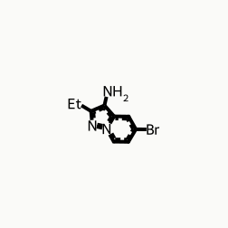 CCc1nn2ccc(Br)cc2c1N